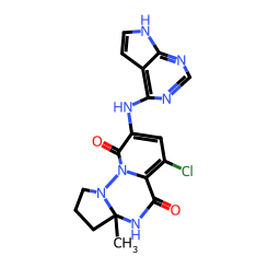 CC12CCCN1n1c(c(Cl)cc(Nc3ncnc4[nH]ccc34)c1=O)C(=O)N2